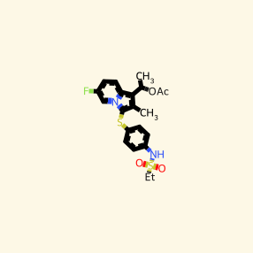 CCS(=O)(=O)Nc1ccc(Sc2c(C)c(C(C)OC(C)=O)c3ccc(F)cn23)cc1